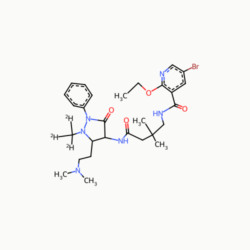 [2H]C([2H])([2H])N1C(CCN(C)C)C(NC(=O)CC(C)(C)CNC(=O)c2cc(Br)cnc2OCC)C(=O)N1c1ccccc1